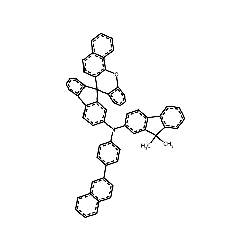 CC1(C)c2ccccc2-c2ccc(N(c3ccc(-c4ccc5ccccc5c4)cc3)c3ccc4c(c3)C3(c5ccccc5Oc5c3ccc3ccccc53)c3ccccc3-4)cc21